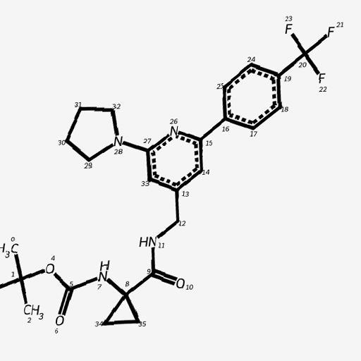 CC(C)(C)OC(=O)NC1(C(=O)NCc2cc(-c3ccc(C(F)(F)F)cc3)nc(N3CCCC3)c2)CC1